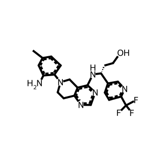 Cc1ccc(N2CCc3ncnc(N[C@H](CCO)c4ccc(C(F)(F)F)nc4)c3C2)c(N)c1